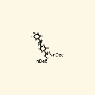 CCCCCCCCCCCCN(CCCCCCCCCCCC)c1ccc(/N=N/c2ccccc2)cc1